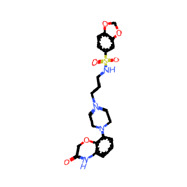 O=C1COc2c(cccc2N2CCN(CCCNS(=O)(=O)c3ccc4c(c3)OCO4)CC2)N1